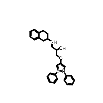 OC(CNC1CCc2ccccc2C1)COC1=CN(c2ccccc2)S(c2ccccc2)=C1